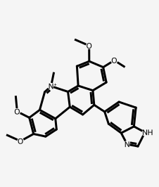 COc1cc2c(-c3ccc4[nH]cnc4c3)cc3c4ccc(OC)c(OC)c4c[n+](C)c3c2cc1OC